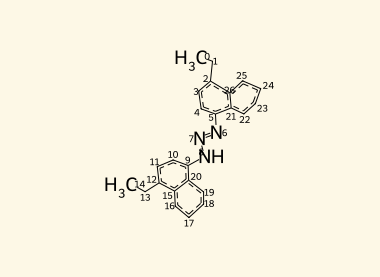 CCc1ccc(N=NNc2ccc(CC)c3ccccc23)c2ccccc12